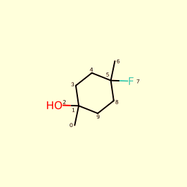 CC1(O)CCC(C)(F)CC1